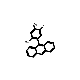 Cc1cc([N+](=O)[O-])c(F)cc1-c1c2ccccc2cc2ccccc12